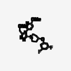 COCc1nnc(N2CCC(Oc3cc(F)cc(F)c3)CC2)n1-c1ccc(OC)nc1